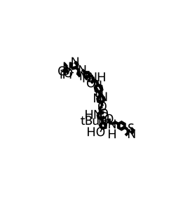 Cc1ncsc1-c1ccc(CNC(=O)[C@@H]2C[C@@H](O)CN2C(=O)[C@@H](NC(=O)COc2cnc(N3CCN(CC(=O)Nc4cc5nc(-c6cncc(N(C)C(=O)OC(C)C)c6)ccn5n4)CC3)nc2)C(C)(C)C)cc1